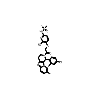 CCc1nc(NS(C)(=O)=O)ccc1OCC(=O)N1CCc2nc3ccc(F)cn3c2C1c1ccc(Cl)cc1F